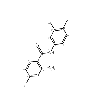 Cc1ccc(NC(=O)c2ccc(Cl)cc2N)cc1C